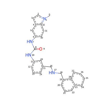 Cn1ccc2cc(NC(=O)Nc3cccc(CNCc4cccc5ccccc45)c3)ccc21